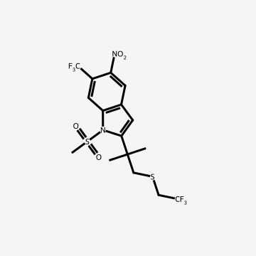 CC(C)(CSCC(F)(F)F)c1cc2cc([N+](=O)[O-])c(C(F)(F)F)cc2n1S(C)(=O)=O